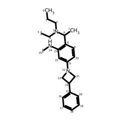 CCCN(CI)C(C)c1ccc(N2CC(c3ccccc3)C2)cc1NI